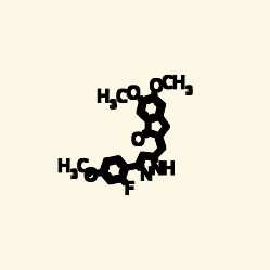 COc1ccc(-c2cc(C=C3Cc4cc(OC)c(OC)cc4C3=O)[nH]n2)c(F)c1